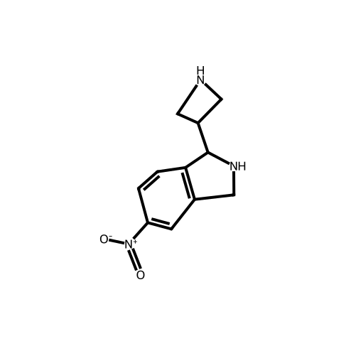 O=[N+]([O-])c1ccc2c(c1)CNC2C1CNC1